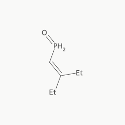 CCC(=C[PH2]=O)CC